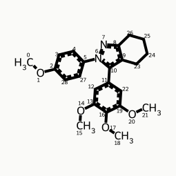 COc1ccc(-n2nc3c(c2-c2cc(OC)c(OC)c(OC)c2)CCCC3)cc1